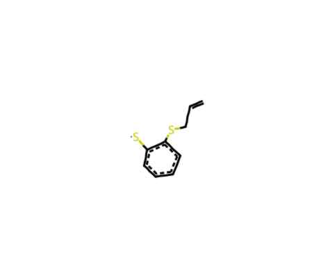 C=CCSc1ccccc1[S]